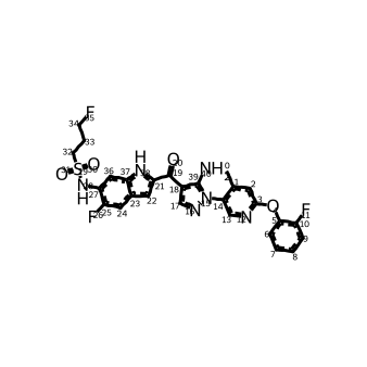 Cc1cc(Oc2ccccc2F)ncc1-n1ncc(C(=O)c2cc3cc(F)c(NS(=O)(=O)CCCF)cc3[nH]2)c1N